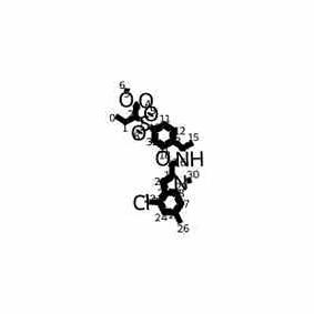 CCC(C(=O)OC)S(=O)(=O)c1ccc(C(C)NC(=O)c2cc3c(Cl)cc(C)cc3n2C)cc1